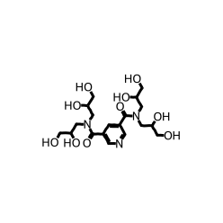 O=C(c1cncc(C(=O)N(CC(O)CO)CC(O)CO)c1)N(CC(O)CO)CC(O)CO